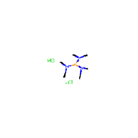 CN(C)P(N(C)C)N(C)C.Cl.Cl